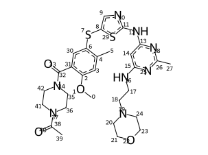 COc1cc(C)c(Sc2cnc(Nc3cc(NCCN4CCOCC4)nc(C)n3)s2)cc1C(=O)N1CCN(C(C)=O)CC1